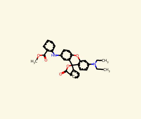 CCN(CC)c1ccc2c(c1)Oc1ccc(Nc3ccccc3C(=O)OC)cc1C21OC(=O)c2ccccc21